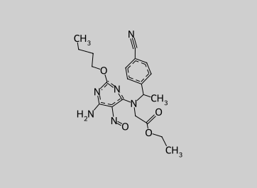 CCCCOc1nc(N)c(N=O)c(N(CC(=O)OCC)C(C)c2ccc(C#N)cc2)n1